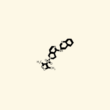 Cc1noc(C)c1S(=O)(=O)N1CCc2c(ccnc2Nc2cnc3ccccc3c2)C1